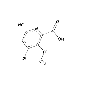 COc1c(Br)ccnc1C(=O)O.Cl